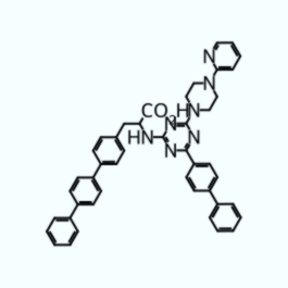 O=C(O)C(Cc1ccc(-c2ccc(-c3ccccc3)cc2)cc1)Nc1nc(-c2ccc(-c3ccccc3)cc2)nc(N2CCN(c3ccccn3)CC2)n1